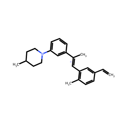 C=Cc1ccc(C)c(/C=C(\C)c2cccc(N3CCC(C)CC3)c2)c1